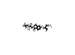 NC/C(=C/F)COc1ccc2c(c1)CCN(CC(=O)NCC(F)(F)F)C2=O